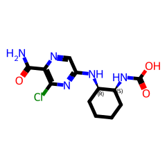 NC(=O)c1ncc(N[C@@H]2CCCC[C@@H]2NC(=O)O)nc1Cl